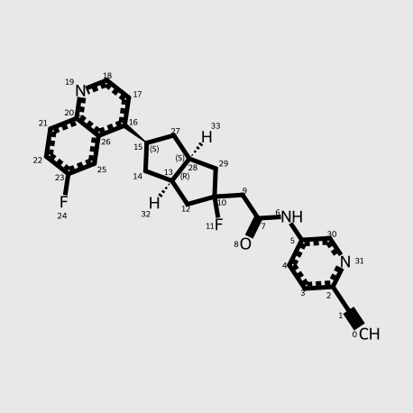 C#Cc1ccc(NC(=O)CC2(F)C[C@H]3C[C@@H](c4ccnc5ccc(F)cc45)C[C@H]3C2)cn1